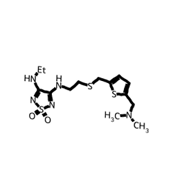 CCNC1=NS(=O)(=O)N=C1NCCSCc1ccc(CN(C)C)s1